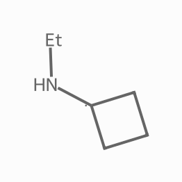 CCN[C]1CCC1